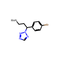 CNCCC(c1ccc(Br)cc1)n1ncnn1